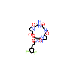 C[C@@H]1NC(=O)[C@H](C)N(C)C(=O)C2CCCN2C(=O)[C@@H](NC(=O)CCc2cc(F)cc(F)c2)[C@H](C)OC(=O)C2CCCN2C1=O